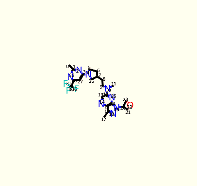 Cc1nc(N2CCC(CCN(C)c3cnc4c(C)nn(C5COC5)c4n3)C2)cc(C(F)(F)F)n1